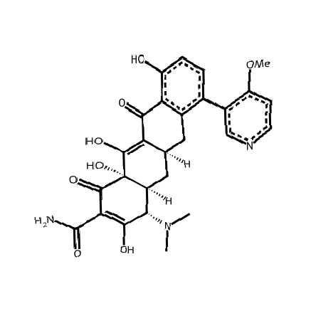 COc1ccncc1-c1ccc(O)c2c1C[C@H]1C[C@H]3[C@H](N(C)C)C(O)=C(C(N)=O)C(=O)[C@@]3(O)C(O)=C1C2=O